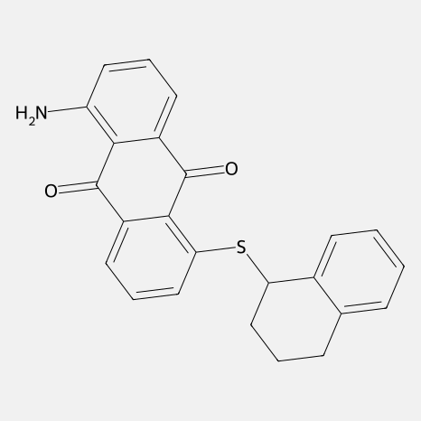 Nc1cccc2c1C(=O)c1cccc(SC3CCCc4ccccc43)c1C2=O